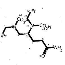 CC(C)CN(C[C@H](CCC(N)=O)N(CC(C)C)C(=O)O)C(=O)O